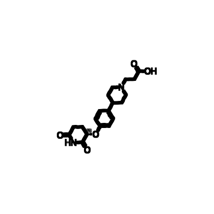 O=C(O)CCN1CCC(c2ccc(O[C@H]3CCC(=O)NC3=O)cc2)CC1